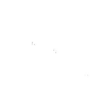 c1ccc(-c2cccc(N(c3ccc(-c4cccc5oc6ccccc6c45)cc3)c3ccc4c5c(-c6ccccc6)cccc5n(-c5ccccc5)c4c3)c2)cc1